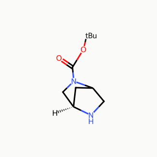 CC(C)(C)OC(=O)N1C[C@H]2CC1CN2